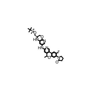 CC1Oc2cc(N3CCCC3=O)c(F)cc2-c2cnc(Nc3cnc4c(c3)N[C@@H](CO[Si](C)(C)C(C)(C)C)CO4)cc21